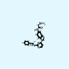 C[C@H](Nc1nccc(-n2cnc3cc(NC(=O)CN)ccc32)n1)c1ccccc1